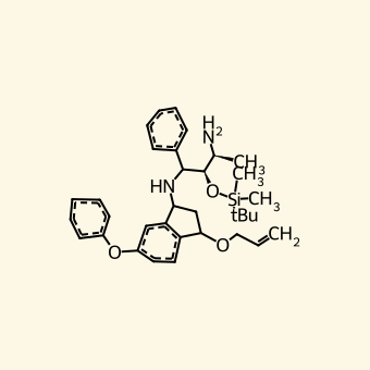 C=CCOC1CC(NC(c2ccccc2)[C@H](O[Si](C)(C)C(C)(C)C)[C@H](C)N)c2cc(Oc3ccccc3)ccc21